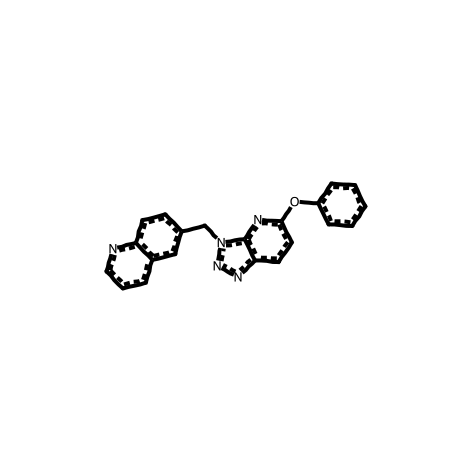 c1ccc(Oc2ccc3nnn(Cc4ccc5ncccc5c4)c3n2)cc1